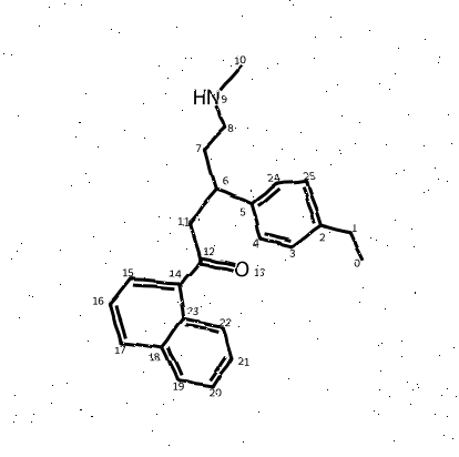 CCc1ccc(C(CCNC)CC(=O)c2cccc3ccccc23)cc1